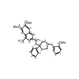 COc1ccccc1CN1CCC(CN(C)c2nc(N)c3cc(OC)c(OC)cc3n2)(c2ccccc2)CC1